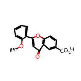 CC(C)Oc1ccccc1-c1cc(=O)c2cc(C(=O)O)ccc2o1